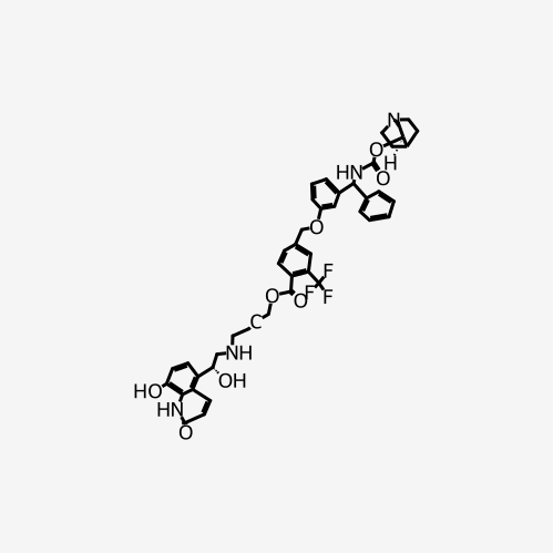 O=C(NC(c1ccccc1)c1cccc(OCc2ccc(C(=O)OCCCCNC[C@H](O)c3ccc(O)c4[nH]c(=O)ccc34)c(C(F)(F)F)c2)c1)O[C@H]1CN2CCC1CC2